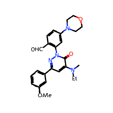 CCN(C)c1cc(-c2cccc(OC)c2)nn(-c2cc(N3CCOCC3)ccc2C=O)c1=O